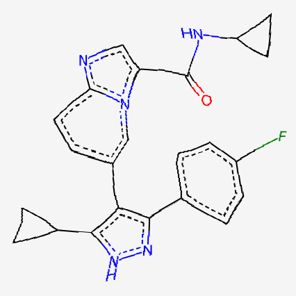 O=C(NC1CC1)c1cnc2ccc(-c3c(-c4ccc(F)cc4)n[nH]c3C3CC3)cn12